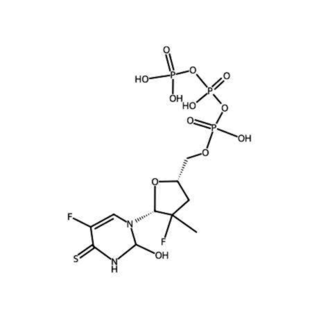 CC1(F)C[C@@H](COP(=O)(O)OP(=O)(O)OP(=O)(O)O)O[C@H]1N1C=C(F)C(=S)NC1O